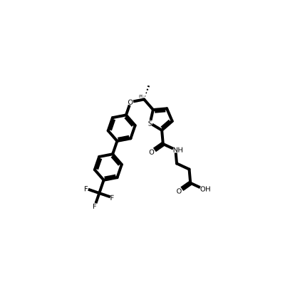 C[C@@H](Oc1ccc(-c2ccc(C(F)(F)F)cc2)cc1)c1ccc(C(=O)NCCC(=O)O)s1